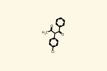 CC(=O)C(C(=O)c1ccccc1)c1ccc(Cl)cc1